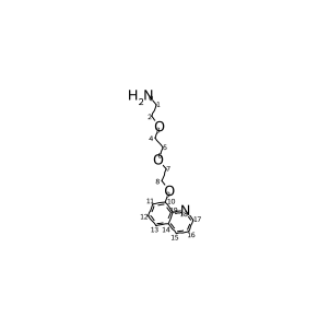 NCCOCCOCCOc1cccc2cccnc12